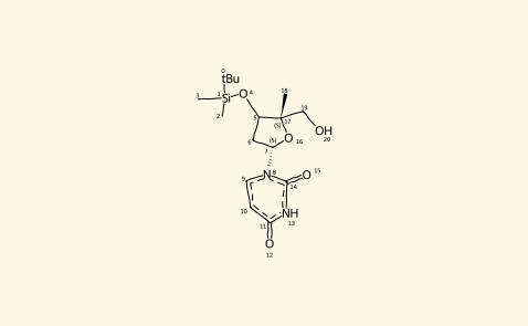 CC(C)(C)[Si](C)(C)OC1C[C@@H](n2ccc(=O)[nH]c2=O)O[C@@]1(C)CO